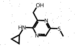 CSc1cnc(NC2CC2)c(CO)n1